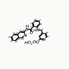 O=C(O)Oc1cc(CNc2ccccc2C(=O)Nc2cc3ccccc3cn2)ccn1